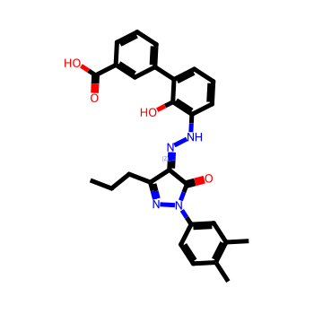 CCCC1=NN(c2ccc(C)c(C)c2)C(=O)/C1=N\Nc1cccc(-c2cccc(C(=O)O)c2)c1O